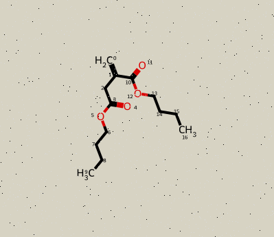 C=C(CC(=O)OCCCC)C(=O)OCCCC